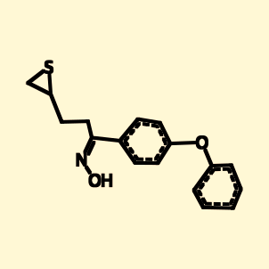 O/N=C(/CCC1CS1)c1ccc(Oc2ccccc2)cc1